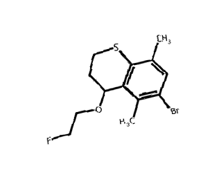 Cc1cc(Br)c(C)c2c1SCCC2OCCF